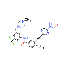 Cc1ccc(C(=O)Nc2cc(CN3CCN(C)CC3)cc(C(F)(F)F)c2)cc1C#Cc1cnc(NC=O)cn1